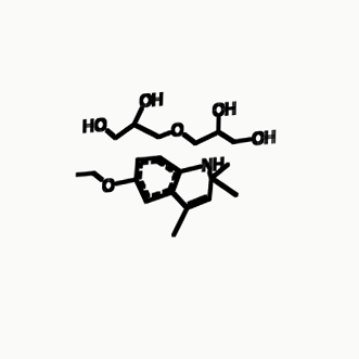 CCOc1ccc2c(c1)C(C)=CC(C)(C)N2.OCC(O)COCC(O)CO